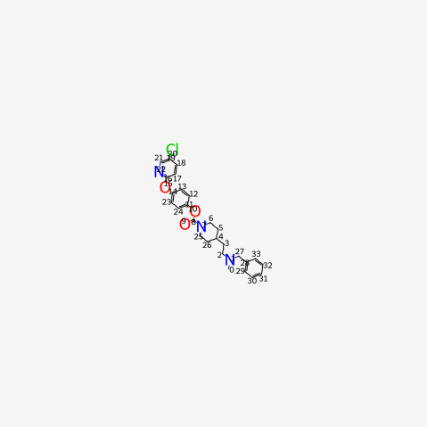 CN(CCC1CCN(C(=O)Oc2ccc(Oc3ccc(Cl)cn3)cc2)CC1)Cc1ccccc1